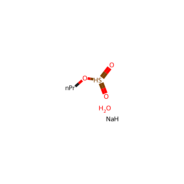 CCCO[SH](=O)=O.O.[NaH]